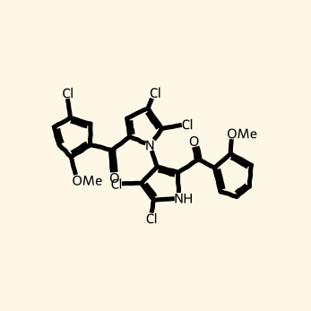 COc1ccccc1C(=O)c1[nH]c(Cl)c(Cl)c1-n1c(C(=O)c2cc(Cl)ccc2OC)cc(Cl)c1Cl